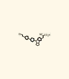 CCC=Cc1ccc(-c2ccc(N3c4ccc(/C=C(\C#N)C(=O)O)cc4C4CCCC43)cc2)cc1